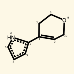 C1=C(c2ccc[nH]2)CCOC1